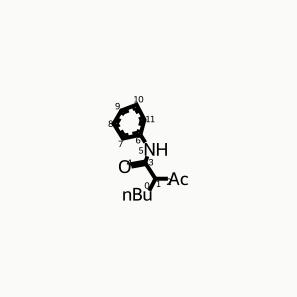 CCCCC(C(C)=O)C(=O)Nc1ccccc1